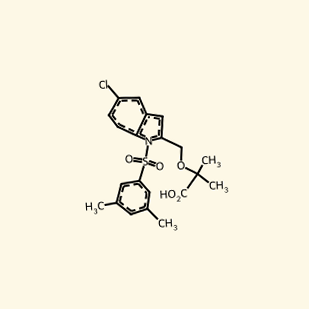 Cc1cc(C)cc(S(=O)(=O)n2c(COC(C)(C)C(=O)O)cc3cc(Cl)ccc32)c1